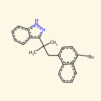 CC(C)(C)c1ccc(CC(C)(C)c2n[nH]c3ccccc23)c2ccccc12